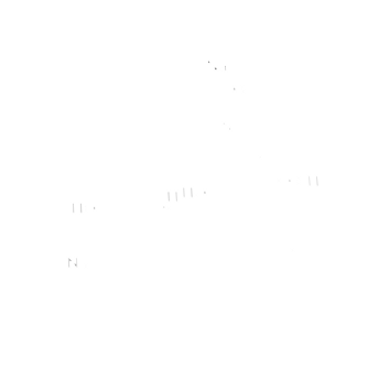 O=C(O)c1ccccc1O.O=C(O)c1ccccc1O.O=S([O-])[O-].[Na+].[Na+]